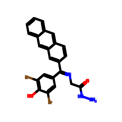 NNC(=O)CN=C(c1cc(Br)c(O)c(Br)c1)c1ccc2cc3ccccc3cc2c1